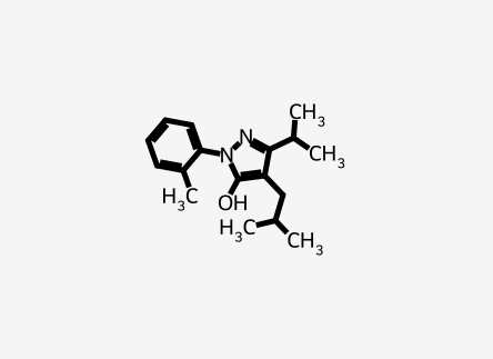 Cc1ccccc1-n1nc(C(C)C)c(CC(C)C)c1O